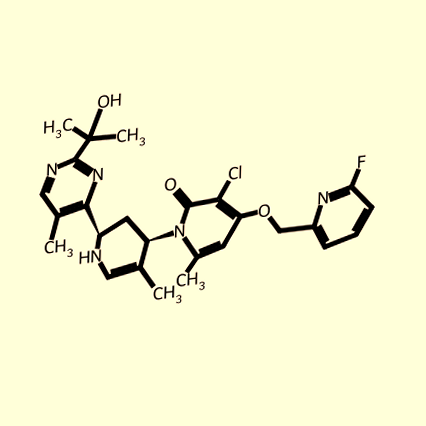 CC1=CN[C@@H](c2nc(C(C)(C)O)ncc2C)C[C@H]1n1c(C)cc(OCc2cccc(F)n2)c(Cl)c1=O